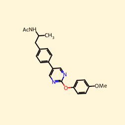 COc1ccc(Oc2ncc(-c3ccc(CC(C)NC(C)=O)cc3)cn2)cc1